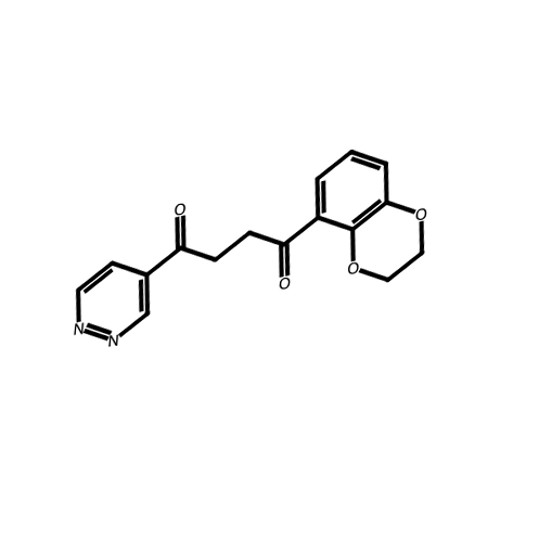 O=C(CCC(=O)c1cccc2c1OCCO2)c1ccnnc1